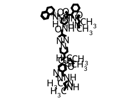 CNC(C)C(=O)NC(C(=O)N1C[C@@H](NC(=O)c2cnc(N3CCC(COc4cc5ncnc(Nc6n[nH]c(C)c6C)c5cc4S(=O)(=O)C(C)(C)C)CC3)nc2)C[C@H]1C(=O)N[C@@H]1CCCc2ccccc21)C1CCCCC1